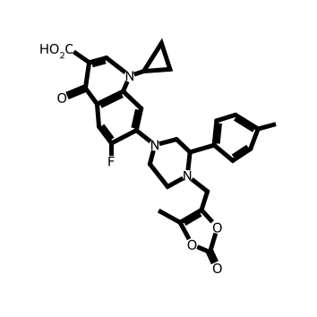 Cc1ccc(C2CN(c3cc4c(cc3F)c(=O)c(C(=O)O)cn4C3CC3)CCN2Cc2oc(=O)oc2C)cc1